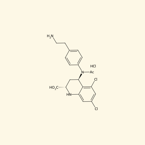 CC(=O)N(c1ccc(CCN)cc1)[C@@H]1C[C@@H](C(=O)O)Nc2cc(Cl)cc(Cl)c21.Cl